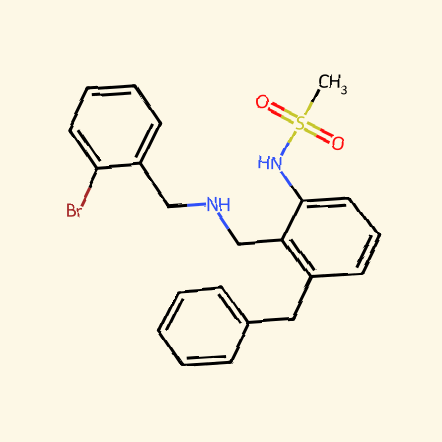 CS(=O)(=O)Nc1cccc(Cc2ccccc2)c1CNCc1ccccc1Br